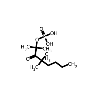 CCCCC(C)(C)C(=O)C(C)(C)OP(=O)(O)O